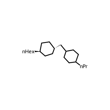 CCCCCC[C@H]1CC[C@H](CC2CCC(CCC)CC2)CC1